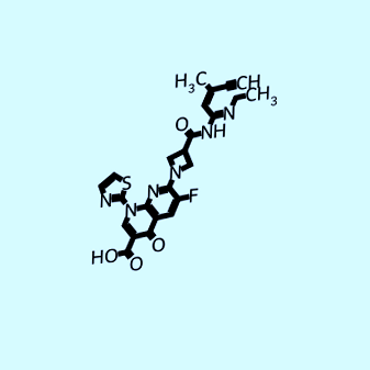 C#C/C(C)=C\C(=N/CC)NC(=O)C1CN(c2nc3c(cc2F)c(=O)c(C(=O)O)cn3-c2nccs2)C1